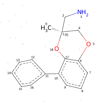 C[C@]1(CN)COc2cccc(-c3ccccc3)c2O1